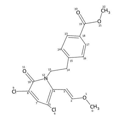 COC=Cc1c(Cl)cc(Cl)c(=O)n1CCc1ccc(C(=O)OC)cc1